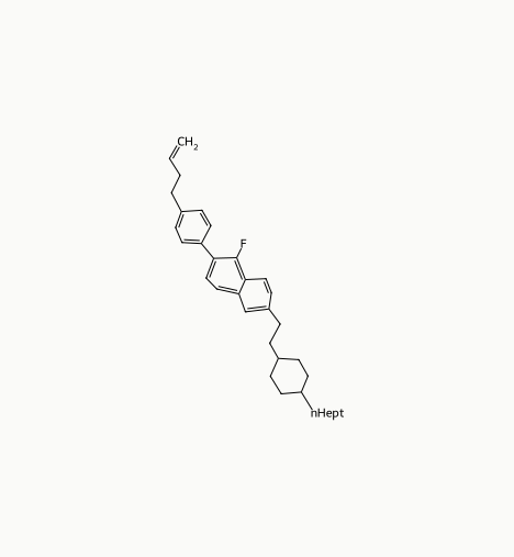 C=CCCc1ccc(-c2ccc3cc(CCC4CCC(CCCCCCC)CC4)ccc3c2F)cc1